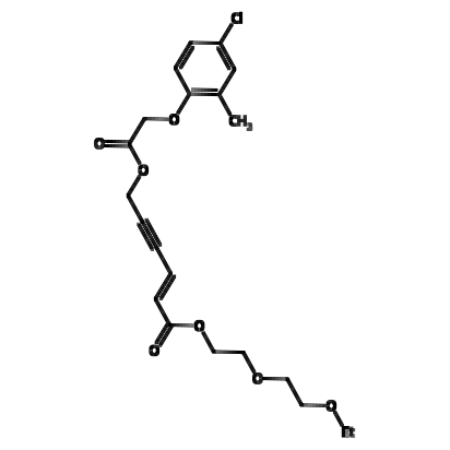 CCOCCOCCOC(=O)C=CC#CCOC(=O)COc1ccc(Cl)cc1C